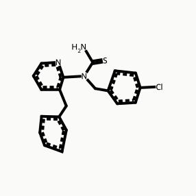 NC(=S)N(Cc1ccc(Cl)cc1)c1ncccc1Cc1ccccc1